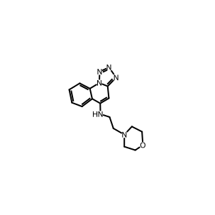 c1ccc2c(c1)c(NCCN1CCOCC1)cc1nnnn12